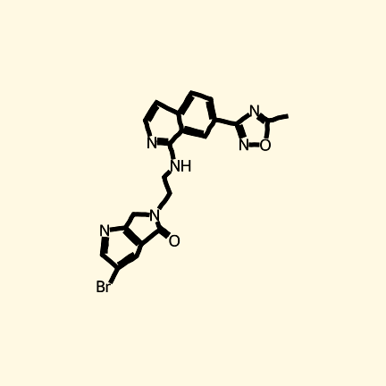 Cc1nc(-c2ccc3ccnc(NCCN4Cc5ncc(Br)cc5C4=O)c3c2)no1